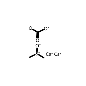 C[S+](C)[O-].O=C([O-])[O-].[Cs+].[Cs+]